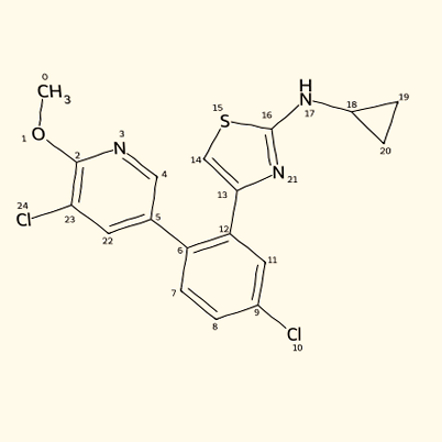 COc1ncc(-c2ccc(Cl)cc2-c2csc(NC3CC3)n2)cc1Cl